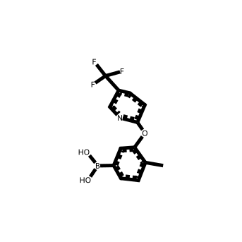 Cc1ccc(B(O)O)cc1Oc1ccc(C(F)(F)F)cn1